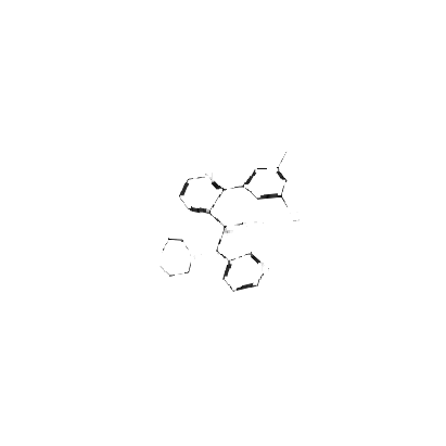 Cc1cc(Cl)cc(-c2ncccc2[C@@H](O)[C@H](c2cccnc2)N2CCOCC2)c1